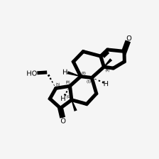 C[C@]12CCC(=O)C=C1CC[C@H]1[C@@H]3[C@@H](CO)CC(=O)[C@@]3(C)CC[C@@H]12